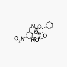 CN(Cc1cc([N+](=O)[O-])cc(F)c1O[C@@H]1COC[C@@H]1O)C(=O)OCc1ccccc1